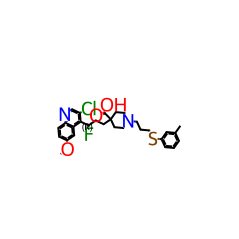 COc1ccc2ncc(Cl)c([C@H](F)CCC3(C(=O)O)CCN(CCCSc4cccc(C)c4)CC3)c2c1